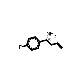 C=CC[C@@H](N)c1ccc(F)cc1